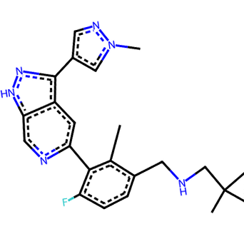 Cc1c(CNCC2(C)CC2)ccc(F)c1-c1cc2c(-c3cnn(C)c3)n[nH]c2cn1